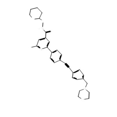 O=C(NOC1CCCCO1)c1cc(Cl)nc(-c2ccc(C#Cc3ccc(CN4CCOCC4)cc3)cc2)c1